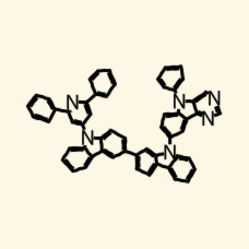 c1ccc(-c2cc(-n3c4ccccc4c4cc(-c5ccc6c7ccccc7n(-c7ccc8c(c7)c7ncncc7n8-c7ccccc7)c6c5)ccc43)cc(-c3ccccc3)n2)cc1